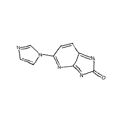 O=C1N=c2ccc(-n3ccnc3)nc2=N1